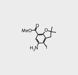 COC(=O)c1cc(N)c(I)c2c1OC(C)(C)C2